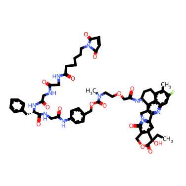 CC[C@@]1(O)C(=O)OCc2c1cc1n(c2=O)Cc2c-1nc1cc(F)c(C)c3c1c2[C@@H](NC(=O)COCCN(C)C(=O)OCc1ccc(NC(=O)CNC(=O)[C@H](Cc2ccccc2)NC(=O)CNC(=O)CNC(=O)CCCCCN2C(=O)C=CC2=O)cc1)CC3